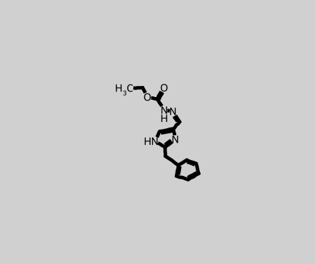 CCOC(=O)N/N=C\c1c[nH]c(Cc2ccccc2)n1